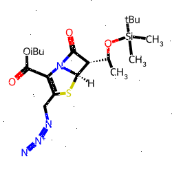 CC(C)COC(=O)C1=C(CN=[N+]=[N-])S[C@@H]2[C@@H](C(C)O[Si](C)(C)C(C)(C)C)C(=O)N12